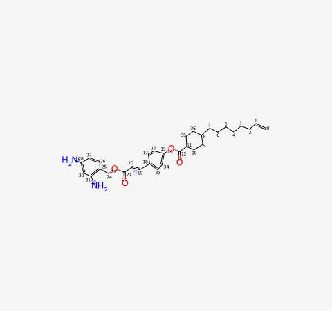 C=CCCCCCCC1CCC(C(=O)Oc2ccc(/C=C/C(=O)OCc3ccc(N)cc3N)cc2)CC1